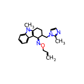 C=CCO/N=C1/c2c(n(C)c3ccccc23)CCC1Cn1ccnc1C